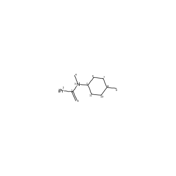 C=C(C(C)C)N(C)C1CCC(C)CC1